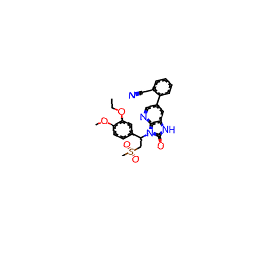 CCOc1cc(C(CS(C)(=O)=O)n2c(=O)[nH]c3cc(-c4ccccc4C#N)cnc32)ccc1OC